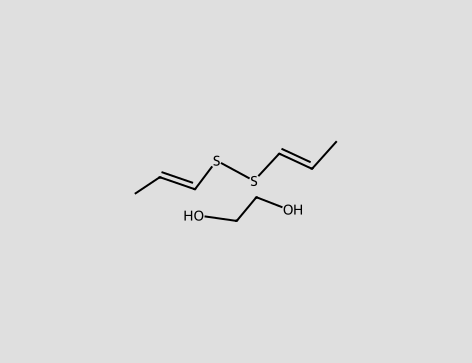 C/C=C/SS/C=C/C.OCCO